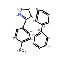 O=[N+]([O-])c1ccc(C2=NNCC2)cc1.c1ccc(-c2ccccc2)cc1